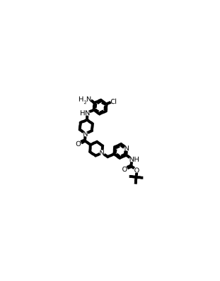 CC(C)(C)OC(=O)Nc1cc(CN2CCC(C(=O)N3CCC(Nc4ccc(Cl)cc4N)CC3)CC2)ccn1